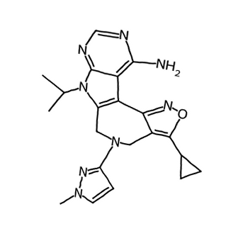 CC(C)n1c2c(c3c(N)ncnc31)-c1noc(C3CC3)c1CN(c1ccn(C)n1)C2